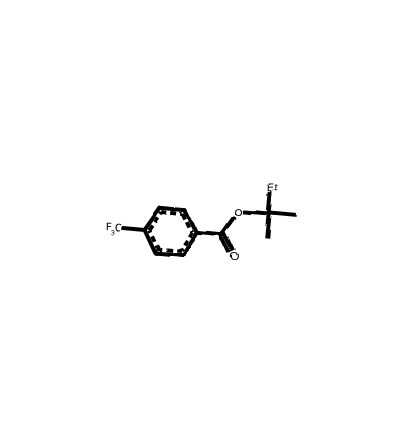 CCC(C)(C)OC(=O)c1ccc(C(F)(F)F)cc1